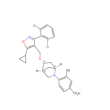 N#Cc1cc(C(=O)O)ccc1N1C[C@@H]2C[C@H]1C[C@H]2OCc1c(-c2c(Cl)cccc2Cl)noc1C1CC1